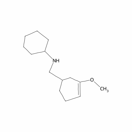 COC1=CCCC(CNC2CCCCC2)C1